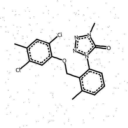 Cc1cc(Cl)c(OCc2c(C)cccc2-n2nnn(C)c2=O)cc1Cl